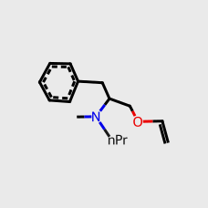 C=COCC(Cc1ccccc1)N(C)CCC